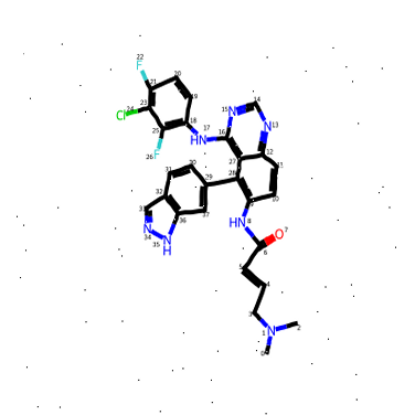 CN(C)C/C=C/C(=O)Nc1ccc2ncnc(Nc3ccc(F)c(Cl)c3F)c2c1-c1ccc2cn[nH]c2c1